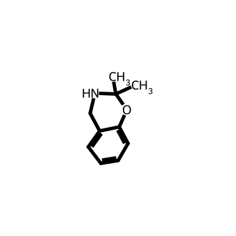 CC1(C)NCc2ccccc2O1